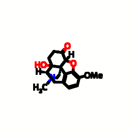 COc1ccc2c3c1O[C@H]1C(=O)CCC4(O)[C@@H](C2)N(C)CC[C@@]314